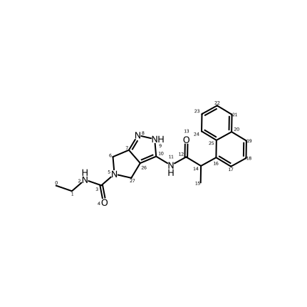 CCNC(=O)N1Cc2n[nH]c(NC(=O)C(C)c3cccc4ccccc34)c2C1